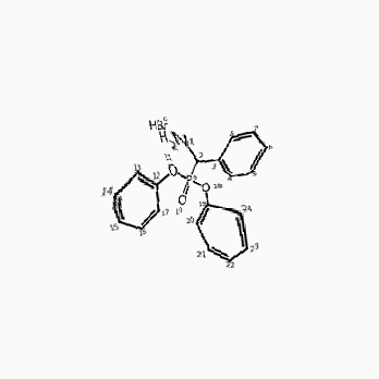 Br.NC(c1ccccc1)P(=O)(Oc1ccccc1)Oc1ccccc1